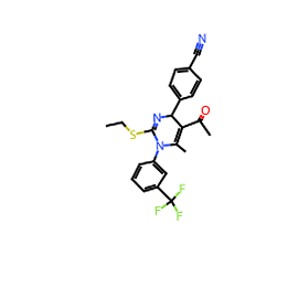 CCSC1=NC(c2ccc(C#N)cc2)C(C(C)=O)=C(C)N1c1cccc(C(F)(F)F)c1